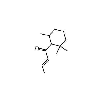 CC=CC(=O)C1C(C)CCCC1(C)C